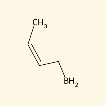 BC/C=C\C